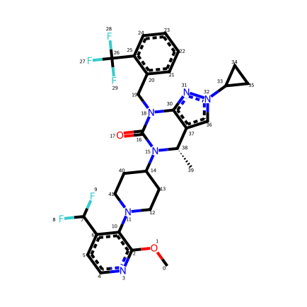 COc1nccc(C(F)F)c1N1CCC(N2C(=O)N(Cc3ccccc3C(F)(F)F)c3nn(C4CC4)cc3[C@@H]2C)CC1